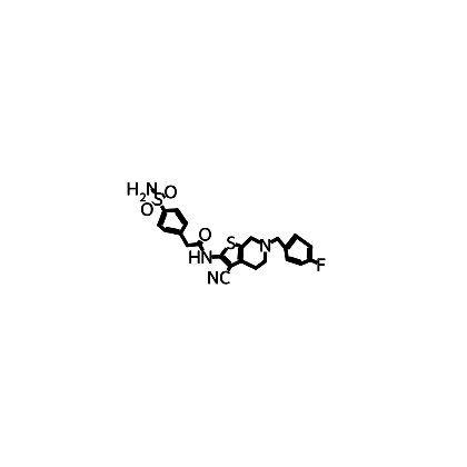 N#Cc1c(NC(=O)Cc2ccc(S(N)(=O)=O)cc2)sc2c1CCN(Cc1ccc(F)cc1)C2